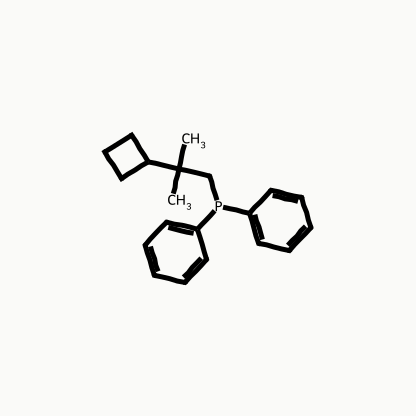 CC(C)(CP(c1ccccc1)c1ccccc1)C1CCC1